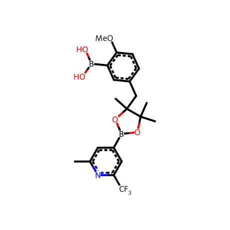 COc1ccc(CC2(C)OB(c3cc(C)nc(C(F)(F)F)c3)OC2(C)C)cc1B(O)O